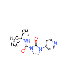 CC(C)(C)NC(=O)N1CCN(c2ccncc2)C1=O